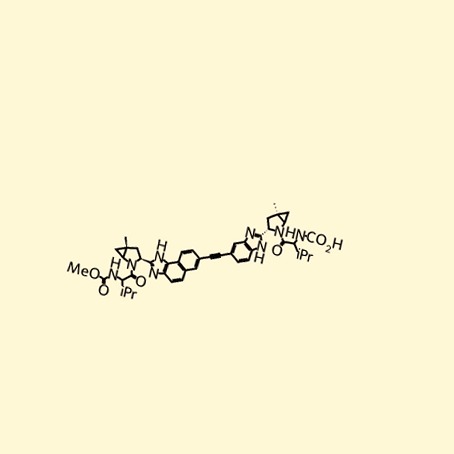 COC(=O)NC(C(=O)N1C2C[C@]2(C)C[C@H]1c1nc2ccc3cc(C#Cc4ccc5[nH]c([C@@H]6C[C@@]7(C)CC7N6C(=O)C(NC(=O)O)C(C)C)nc5c4)ccc3c2[nH]1)C(C)C